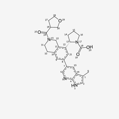 Cc1c[nH]c2ncc(-c3cc4c(c([C@@H]5CCCN5C(=O)O)c3)CN(C(=O)C3CCOC3)CC4)cc12